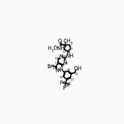 CNC(=O)[C@]1(C)CC[C@@H](Nc2ncc3c(Br)nn(-c4cc(CO)cc(C(F)(F)F)c4)c3n2)C1